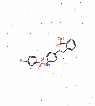 O=C(O)c1ccccc1CCc1ccc(NS(=O)(=O)c2ccc(F)cc2)cc1